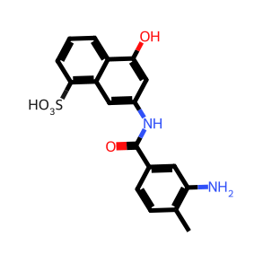 Cc1ccc(C(=O)Nc2cc(O)c3cccc(S(=O)(=O)O)c3c2)cc1N